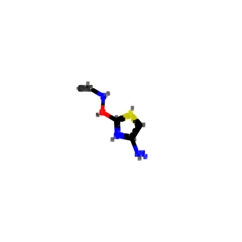 Nc1csc(O[N][C]=O)n1